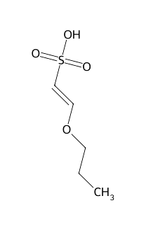 CCCOC=CS(=O)(=O)O